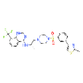 Cc1nc(-c2cccc(S(=O)(=O)N3CCN(C[C@H](C)Nc4ncnc5c(C(F)(F)F)cccc45)CC3)c2)cs1